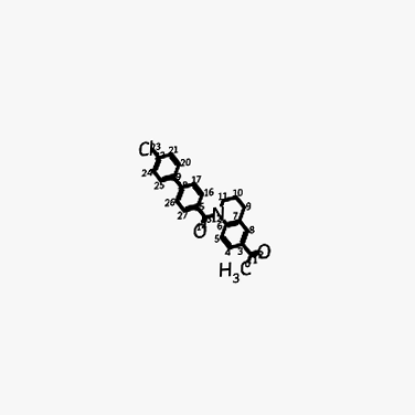 CC(=O)c1ccc2c(c1)CCCN2C(=O)c1ccc(-c2ccc(Cl)cc2)cc1